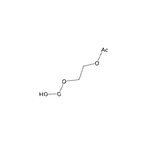 CC(=O)OCCOOO